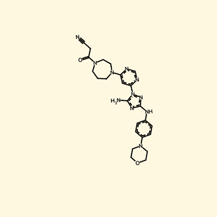 N#CCC(=O)N1CCCN(c2cc(-n3nc(Nc4ccc(N5CCOCC5)cc4)nc3N)ncn2)CC1